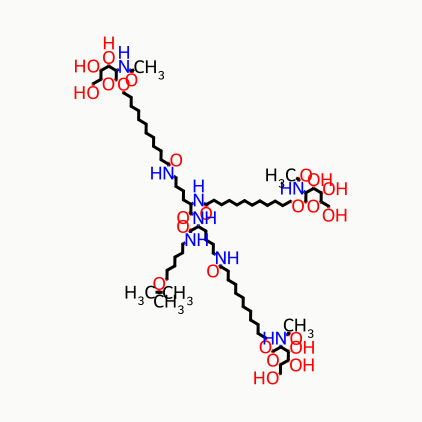 CC(=O)NC1C(OCCCCCCCCCCCC(=O)NCCCCC(NC(=O)CCCCCCCCCCCOC2OC(CO)C(O)C(O)C2NC(C)=O)C(=O)NC(CCCCNC(=O)CCCCCCCCCCCOC2OC(CO)C(O)C(O)C2NC(C)=O)C(=O)NCCCCCCOC(C)(C)C)OC(CO)C(O)C1O